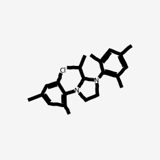 Cc1cc(C)c(N2CCN(c3c(C)cc(C)cc3Cl)C2C(C)C)c(C)c1